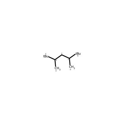 CC(CC(C)C(C)(C)C)C(C)(C)C